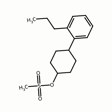 CCCc1ccccc1C1CCC(OS(C)(=O)=O)CC1